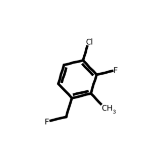 Cc1c(CF)ccc(Cl)c1F